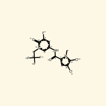 Cn1c(C(=O)Nc2cc(F)c(=O)n(CC(F)(F)F)c2)cc(Cl)c1Cl